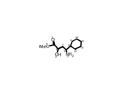 COC(=O)C(O)CC(N)C1CCCCC1